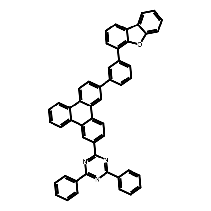 c1ccc(-c2nc(-c3ccccc3)nc(-c3ccc4c5cc(-c6cccc(-c7cccc8c7oc7ccccc78)c6)ccc5c5ccccc5c4c3)n2)cc1